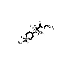 CCOC(=O)C(C)(C)S(=O)(=O)C1CCN(S(C)(=O)=O)CC1